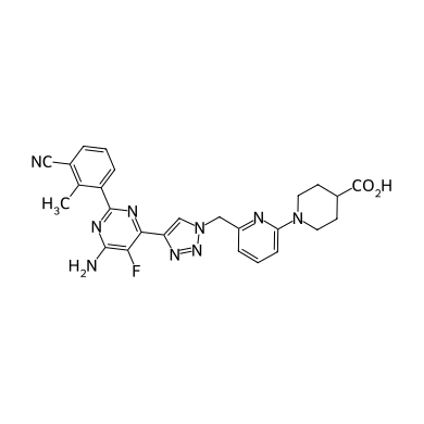 Cc1c(C#N)cccc1-c1nc(N)c(F)c(-c2cn(Cc3cccc(N4CCC(C(=O)O)CC4)n3)nn2)n1